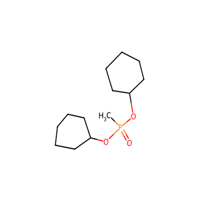 CP(=O)(OC1CCCCC1)OC1CCCCC1